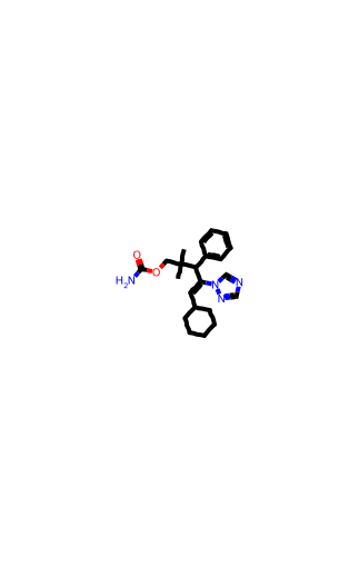 CC(C)(COC(N)=O)C(C(=CC1CCCCC1)n1cncn1)c1ccccc1